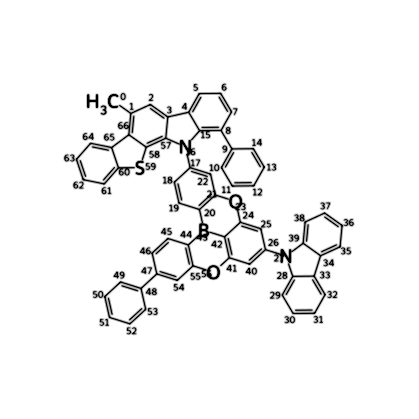 Cc1cc2c3cccc(-c4ccccc4)c3n(-c3ccc4c(c3)Oc3cc(-n5c6ccccc6c6ccccc65)cc5c3B4c3ccc(-c4ccccc4)cc3O5)c2c2sc3ccccc3c12